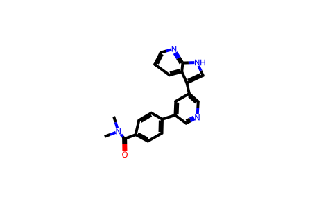 CN(C)C(=O)c1ccc(-c2cncc(-c3c[nH]c4ncccc34)c2)cc1